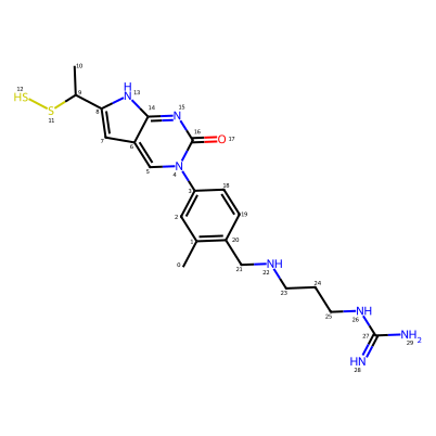 Cc1cc(-n2cc3cc(C(C)SS)[nH]c3nc2=O)ccc1CNCCCNC(=N)N